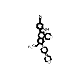 CCc1cc2c(cc1N1CCC(N3CCOCC3)CC1)C1(CCOCC1)c1[nH]c3cc(C#N)ccc3c1C2